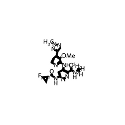 [2H]C([2H])([2H])NC(=O)c1nnc(NC(=O)[C@@H]2C[C@@H]2F)cc1Nc1nccc(-c2cnn(C)n2)c1OC